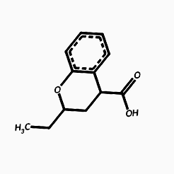 CCC1CC(C(=O)O)c2ccccc2O1